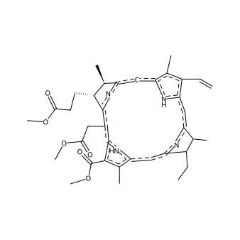 C=Cc1c(C)c2cc3nc(c(CC(=O)OC)c4[nH]c(cc5nc(cc1[nH]2)C(C)C5CC)c(C)c4C(=O)OC)[C@H](CCC(=O)OC)[C@H]3C